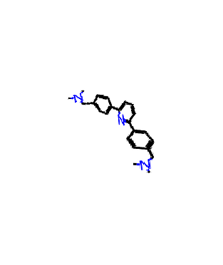 CN(C)Cc1ccc(-c2cccc(-c3ccc(CN(C)C)cc3)n2)cc1